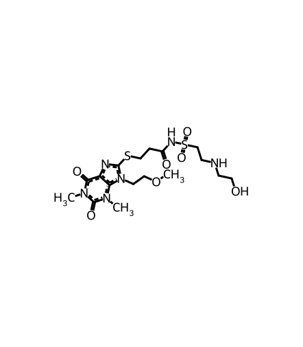 COCCn1c(SCCC(=O)NS(=O)(=O)CCNCCO)nc2c(=O)n(C)c(=O)n(C)c21